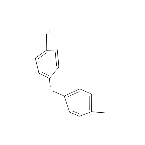 Oc1ccc(Sc2ccc(O)cc2)cc1